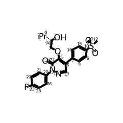 CC(C)[C@H](O)COc1c(-c2ccc(S(C)(=O)=O)cc2)cnn(-c2ccc(F)cc2)c1=O